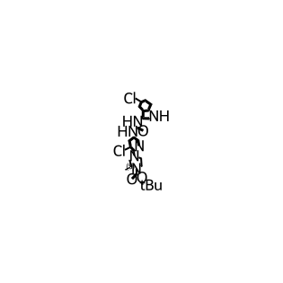 C[C@H]1CN(c2ncc(NC(=O)Nc3c[nH]c4ccc(Cl)cc34)cc2Cl)CCN1C(=O)OC(C)(C)C